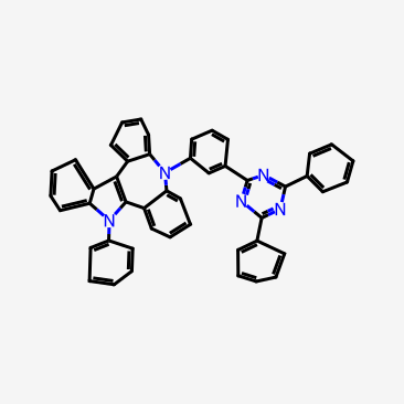 c1ccc(-c2nc(-c3ccccc3)nc(-c3cccc(N4c5ccccc5-c5c(n(-c6ccccc6)c6ccccc56)-c5ccccc54)c3)n2)cc1